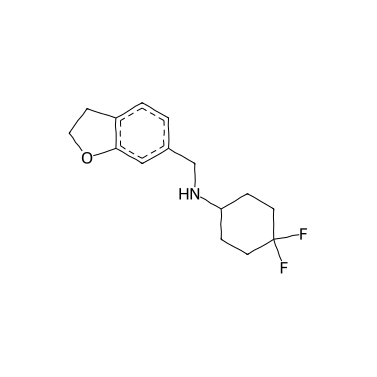 FC1(F)CCC(NCc2ccc3c(c2)OCC3)CC1